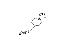 CCCC(C)CC1CCN(C)CC1